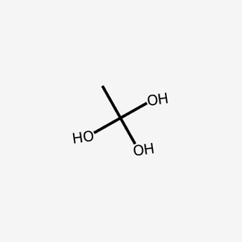 CC(O)(O)O